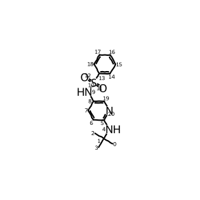 CC(C)(C)Nc1ccc(NS(=O)(=O)c2ccccc2)cn1